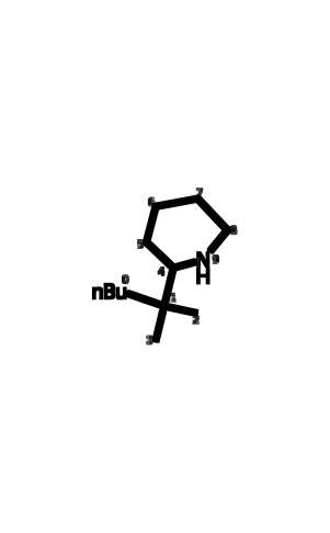 CCCCC(C)(C)C1CCCCN1